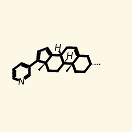 C[C@@H]1CC[C@@]2(C)C(=CC[C@H]3C4=CC=C(c5cccnc5)[C@@]4(C)CC[C@@H]32)C1